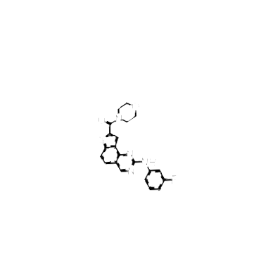 O=C(c1cc2c(ccc3cnc(Nc4cccc(F)c4)nc32)s1)N1CCOCC1